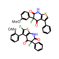 COc1cccc(C2(F)C(=O)Nc3scc(-c4ccccc4)c3C2=O)c1.COc1ccccc1-c1c(F)sc2c1C(=O)C(F)(c1ccccc1)C(=O)N2